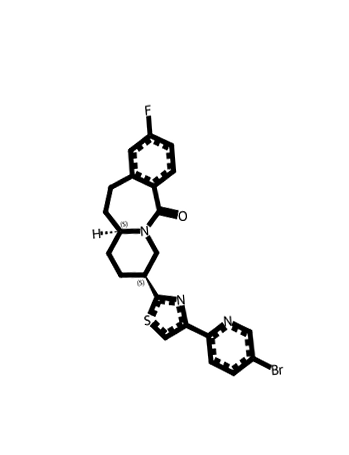 O=C1c2ccc(F)cc2CC[C@@H]2CC[C@H](c3nc(-c4ccc(Br)cn4)cs3)CN12